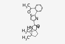 CC(=O)c1ccccc1-c1nc(C(=O)NC2(C)[C@H]3CC[C@]2(C)CC3)cs1